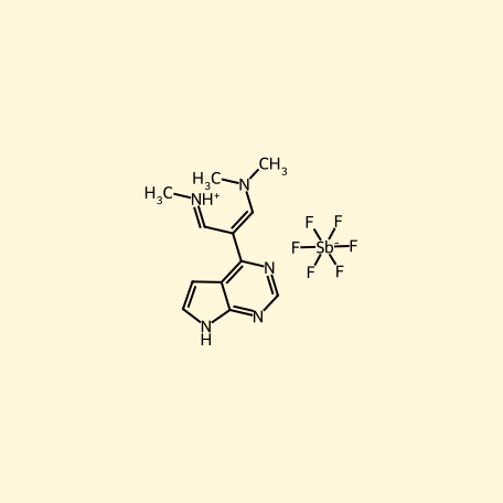 C/[NH+]=C/C(=CN(C)C)c1ncnc2[nH]ccc12.[F][Sb-]([F])([F])([F])([F])[F]